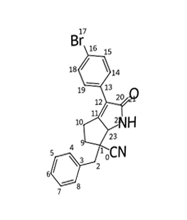 N#CC1(Cc2ccccc2)CCC2=C(c3ccc(Br)cc3)C(=O)NC21